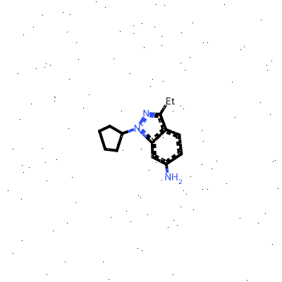 CCc1nn(C2CCCC2)c2cc(N)ccc12